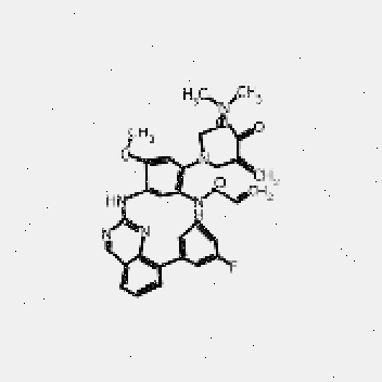 C=CC(=O)Nc1cc(Nc2ncc3cccc(-c4cccc(F)c4)c3n2)c(OC)cc1N(CCN(C)C)CC(=C)C(=O)Cl